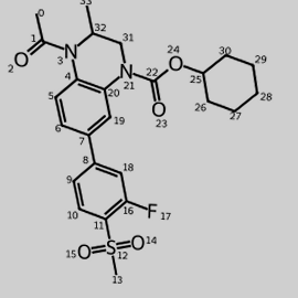 CC(=O)N1c2ccc(-c3ccc(S(C)(=O)=O)c(F)c3)cc2N(C(=O)OC2CCCCC2)CC1C